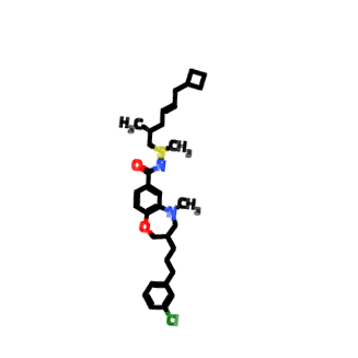 C[C@@H](C/C=C/CC1CCC1)C/S(C)=N\C(=O)c1ccc2c(c1)N(C)CC(CCCc1cccc(Cl)c1)CO2